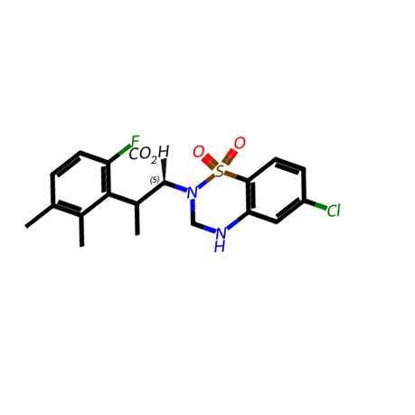 Cc1ccc(F)c(C(C)[C@@H](C(=O)O)N2CNc3cc(Cl)ccc3S2(=O)=O)c1C